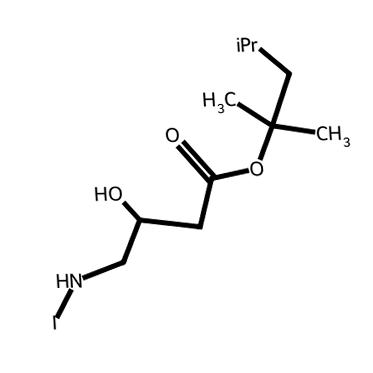 CC(C)CC(C)(C)OC(=O)CC(O)CNI